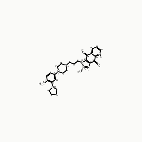 Cc1ccc(N2CCN(CCCn3c4c(n[n+]3[O-])C(=O)c3ncccc3C4=O)CC2)cc1N1CCCC1